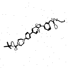 CCNC(=O)Cc1cccc(-c2coc3cc(-c4ccc(N5CCN(C(=O)OC(C)(C)C)CC5)cc4)cnc23)c1